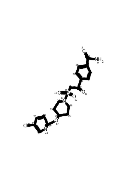 NC(=O)c1ccc(C(=O)CS(=O)(=O)N2CCC(Oc3ccc(Cl)cn3)CC2)cc1